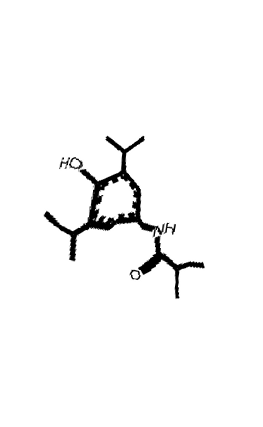 CC(C)C(=O)Nc1cc(C(C)C)c(O)c(C(C)C)c1